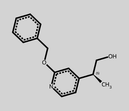 C[C@H](CO)c1ccnc(OCc2ccccc2)c1